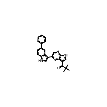 CC(C)(C)C(=O)c1c[nH]c2ncc(-c3c[nH]c4ccc(-c5ccccc5)cc34)nc12